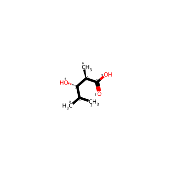 CC(C)[C@H](O)[C@@H](C)C(=O)O